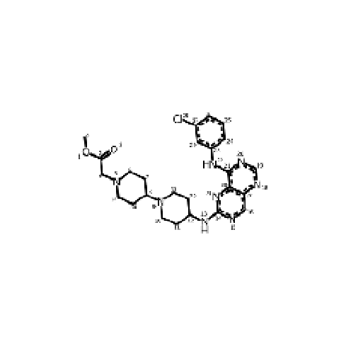 COC(=O)CN1CCC(N2CCC(Nc3ncc4ncnc(Nc5cccc(Cl)c5)c4n3)CC2)CC1